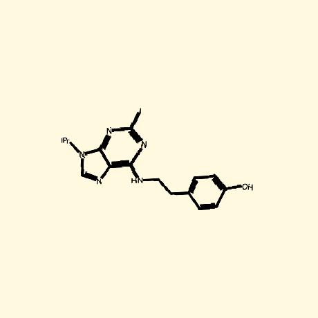 CC(C)n1cnc2c(NCCc3ccc(O)cc3)nc(I)nc21